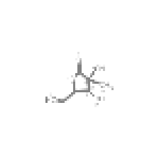 C[C@@]1(C#N)C(=O)OC(CO)[C@H]1O